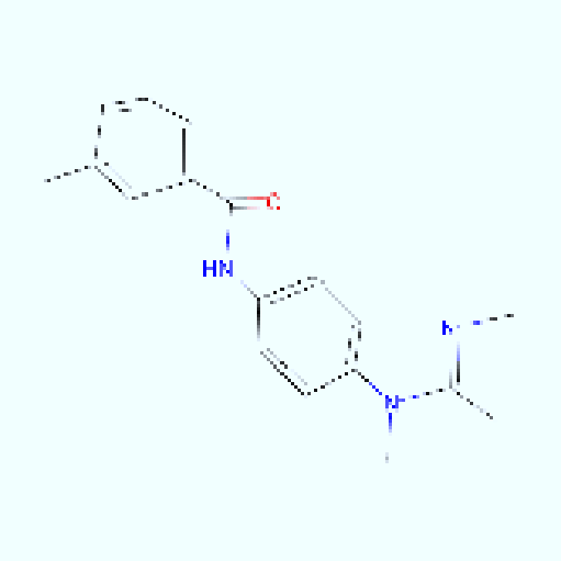 CN=C(C)N(C)c1ccc(NC(=O)c2cccc(C)c2)cc1